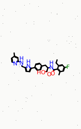 CCc1cc(F)cc(C)c1C(=O)NC(Cc1ccc(-c2ccc(CNc3cc(C)ccn3)[nH]2)cc1)C(=O)O